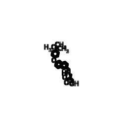 CC(C)(C)C1CCC(Oc2ccc3cc(CNCC(CO)C(=O)O)ccc3c2)CC1